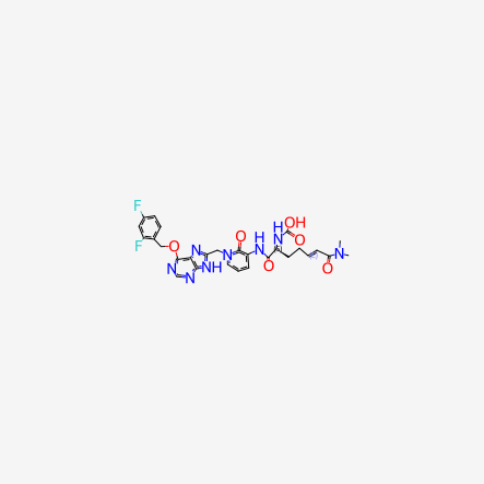 CN(C)C(=O)/C=C/CC[C@H](NC(=O)O)C(=O)Nc1cccn(Cc2nc3c(OCc4ccc(F)cc4F)ncnc3[nH]2)c1=O